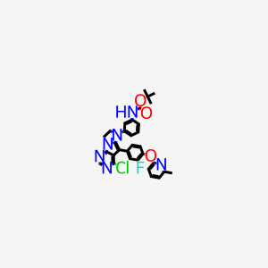 Cc1cccc(Oc2ccc(-c3c4n(c5ncnc(Cl)c35)CCN4c3cccc(NC(=O)OC(C)(C)C)c3)cc2F)n1